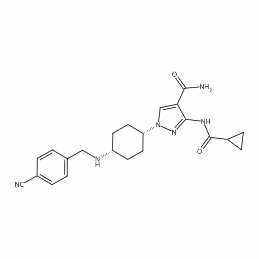 N#Cc1ccc(CN[C@H]2CC[C@@H](n3cc(C(N)=O)c(NC(=O)C4CC4)n3)CC2)cc1